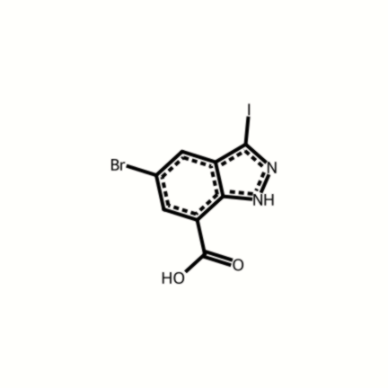 O=C(O)c1cc(Br)cc2c(I)n[nH]c12